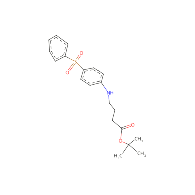 CC(C)(C)OC(=O)CCCNc1ccc(S(=O)(=O)c2ccccc2)cc1